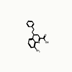 Nc1cccc2c(CCc3ccccc3)cc(C(=O)O)nc12